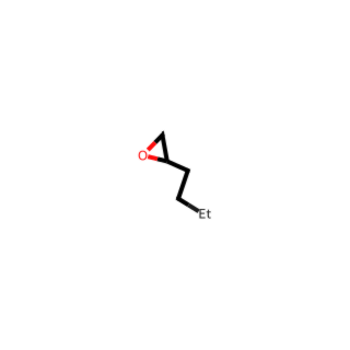 CCCCC1[CH]O1